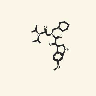 COc1ccc2c(c1)NCC2C(=O)C(=O)N(CC(=O)N(C(C)C)C(C)C)CC1CCCCC1